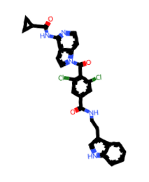 O=C(NCCc1c[nH]c2ccccc12)c1cc(Cl)c(C(=O)n2ccc3c(NC(=O)C4CC4)nccc32)c(Cl)c1